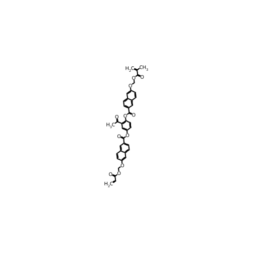 C=CC(=O)OCOc1ccc2cc(C(=O)Oc3ccc(OC(=O)c4ccc5cc(OCOC(=O)C(=C)C)ccc5c4)c(C(C)=O)c3)ccc2c1